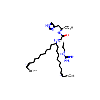 CCCCCCCC/C=C\CCCCCCCCC(CCCCCCC/C=C\CCCCCCCC)N[C@@H](CCCNC(=N)N)C(=O)N[C@@H](Cc1c[nH]cn1)C(=O)O